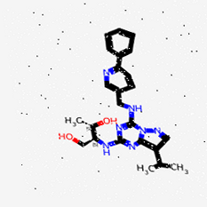 CC(C)c1cnn2c(NCc3ccc(-c4ccccc4)nc3)nc(N[C@@H](CO)[C@H](C)O)nc12